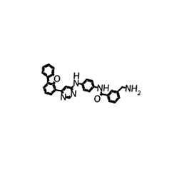 NCc1cccc(C(=O)Nc2ccc(Nc3cc(-c4cccc5c4oc4ccccc45)ncn3)cc2)c1